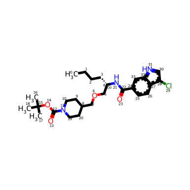 CCCC[C@@H](COCC1CCN(C(=O)OC(C)(C)C)CC1)NC(=O)c1ccc2c(Cl)c[nH]c2c1